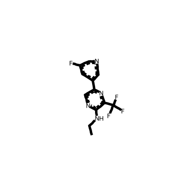 CCNc1ncc(-c2cncc(F)c2)nc1C(F)(F)F